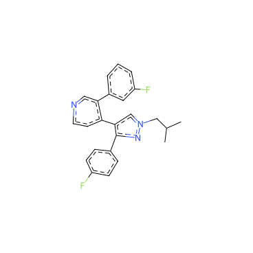 CC(C)Cn1cc(-c2ccncc2-c2cccc(F)c2)c(-c2ccc(F)cc2)n1